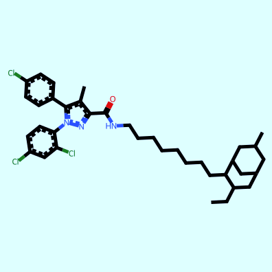 CCC1CC2CC(C)CC(C2)C1CCCCCCCCNC(=O)c1nn(-c2ccc(Cl)cc2Cl)c(-c2ccc(Cl)cc2)c1C